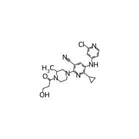 CC1CN(c2nc(C3CC3)c(Nc3ccnc(Cl)c3)cc2C#N)CCN1C(=O)CCO